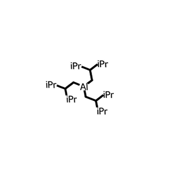 CC(C)C([CH2][Al]([CH2]C(C(C)C)C(C)C)[CH2]C(C(C)C)C(C)C)C(C)C